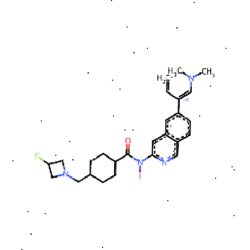 C=C/C(=C\N(C)C)c1ccc2cnc(N(I)C(=O)C3CCC(CN4CC(F)C4)CC3)cc2c1